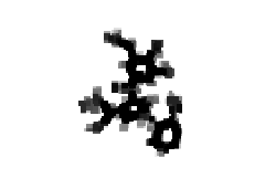 N#C[C@H]1CCOC[C@@H]1n1cc(C(N)=O)c(Nc2cc(Cl)c(Br)c(CO)c2)n1